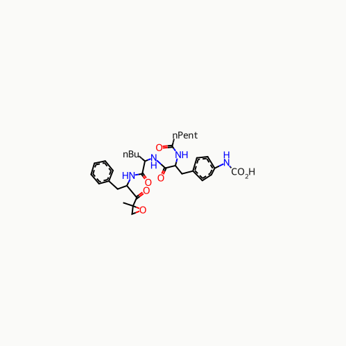 CCCCCC(=O)NC(Cc1ccc(NC(=O)O)cc1)C(=O)NC(CCCC)C(=O)NC(Cc1ccccc1)C(=O)C1(C)CO1